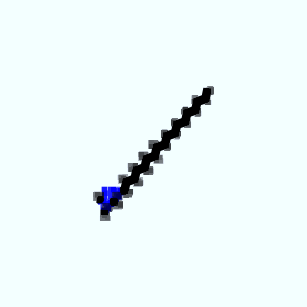 CCCCCCCCCCCCCCCCCCNCN(C)C